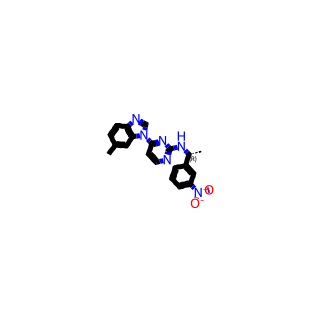 Cc1ccc2ncn(-c3ccnc(N[C@H](C)c4cccc([N+](=O)[O-])c4)n3)c2c1